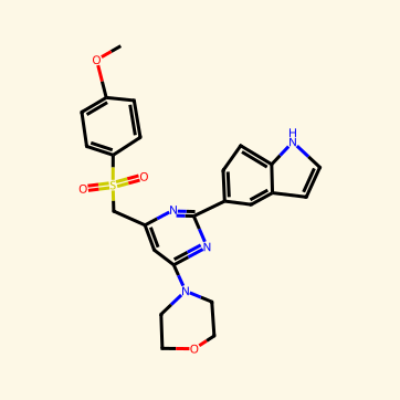 COc1ccc(S(=O)(=O)Cc2cc(N3CCOCC3)nc(-c3ccc4[nH]ccc4c3)n2)cc1